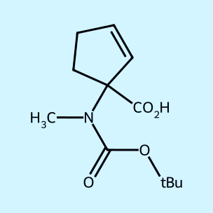 CN(C(=O)OC(C)(C)C)C1(C(=O)O)C=CCC1